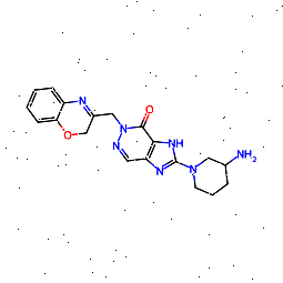 NC1CCCN(c2nc3cnn(CC4=Nc5ccccc5OC4)c(=O)c3[nH]2)C1